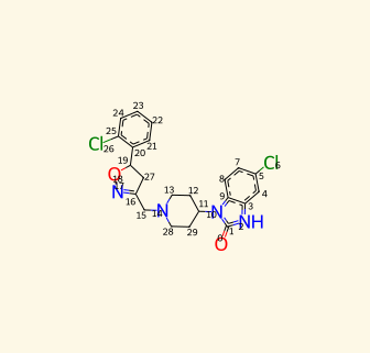 O=c1[nH]c2cc(Cl)ccc2n1C1CCN(CC2=NOC(c3ccccc3Cl)C2)CC1